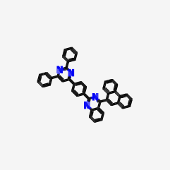 c1ccc(-c2cc(-c3ccc(-c4nc(-c5cc6ccccc6c6ccccc56)c5ccccc5n4)cc3)nc(-c3ccccc3)n2)cc1